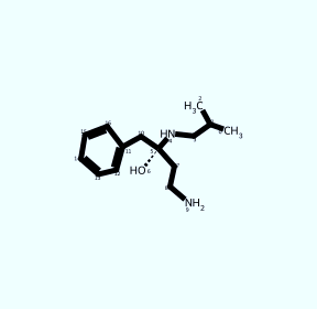 CC(C)CN[C@@](O)(CCN)Cc1ccccc1